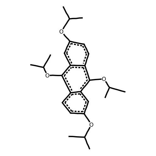 CC(C)Oc1ccc2c(OC(C)C)c3cc(OC(C)C)ccc3c(OC(C)C)c2c1